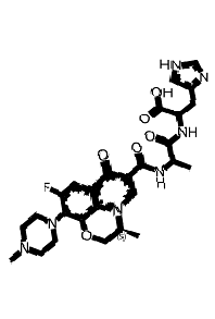 CC(NC(=O)c1cn2c3c(c(N4CCN(C)CC4)c(F)cc3c1=O)OC[C@@H]2C)C(=O)NC(Cc1c[nH]cn1)C(=O)O